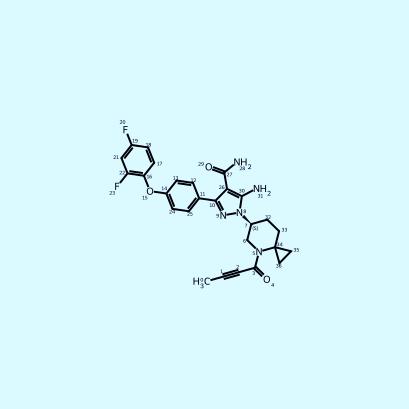 CC#CC(=O)N1C[C@@H](n2nc(-c3ccc(Oc4ccc(F)cc4F)cc3)c(C(N)=O)c2N)CCC12CC2